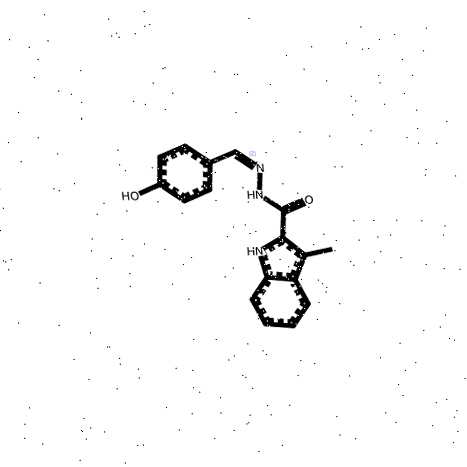 Cc1c(C(=O)N/N=C\c2ccc(O)cc2)[nH]c2ccccc12